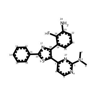 CN(C)c1nccc(-c2sc(-c3ccccc3)nc2-c2cccc(N)c2F)n1